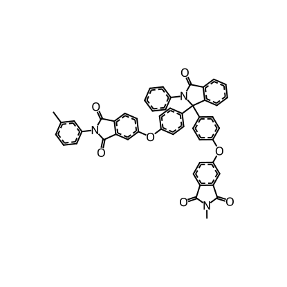 Cc1cccc(N2C(=O)c3ccc(Oc4ccc(C5(c6ccc(Oc7ccc8c(c7)C(=O)N(C)C8=O)cc6)c6ccccc6C(=O)N5c5ccccc5)cc4)cc3C2=O)c1